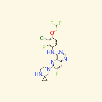 Fc1cc2ncnc(Nc3ccc(OCC(F)F)c(Cl)c3F)c2nc1N1CCNC2(CC2)C1